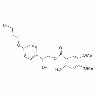 COc1cc(N)c(C(=O)OCC(O)c2ccc(OCCCCl)cc2)cc1OC